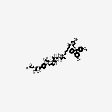 COC(=O)[C@H](CCC(=O)O)NC(=O)c1ccc(N(Cc2cnc3nc(NC(=O)C(C)NCCCCCC(=O)N4C[C@H](O)C[C@H]4COC(c4ccccc4)(c4ccc(OC)cc4)c4ccc(OC)cc4)[nH]c(=O)c3n2)C(=O)C(F)(F)F)cc1